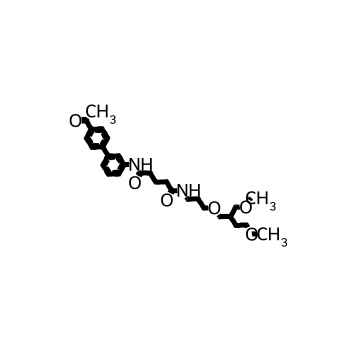 COCCC(COC)COCCCNC(=O)CCCC(=O)Nc1cccc(-c2ccc(C(C)=O)cc2)c1